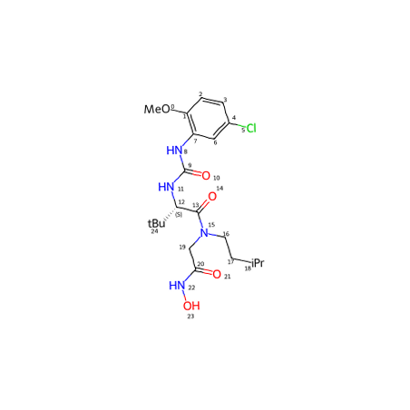 COc1ccc(Cl)cc1NC(=O)N[C@H](C(=O)N(CCC(C)C)CC(=O)NO)C(C)(C)C